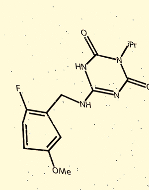 COc1ccc(F)c(CNc2nc(=O)n(C(C)C)c(=O)[nH]2)c1